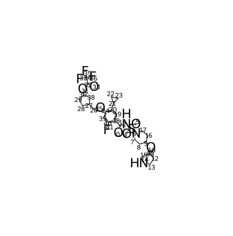 O=C(NS(=O)(=O)N1CCC(O[C@@H]2CCNC2)CC1)c1cc(C2CC2)c(OCC2CCC(OC(=O)C(F)(F)F)C2)cc1F